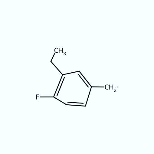 [CH2]c1ccc(F)c(CC)c1